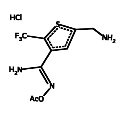 CC(=O)ON=C(N)c1cc(CN)sc1C(F)(F)F.Cl